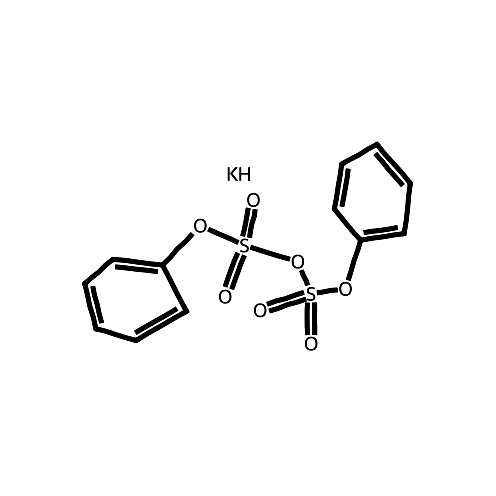 O=S(=O)(Oc1ccccc1)OS(=O)(=O)Oc1ccccc1.[KH]